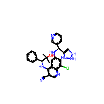 CC(C)(O)[C@@H](Nc1c(C#N)cnc2c(Cl)cc(N[C@H](C3=CNNN3)c3cccnc3)cc12)c1ccccc1